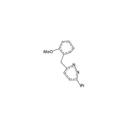 COc1ccccc1Cc1ccc(C(C)C)nn1